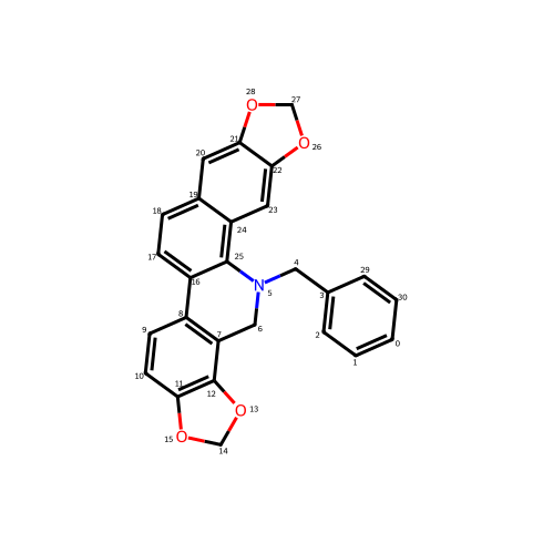 c1ccc(CN2Cc3c(ccc4c3OCO4)-c3ccc4cc5c(cc4c32)OCO5)cc1